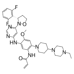 C=CC(=O)Nc1cc(Nc2cc(N3OCC[C@H]3c3c(F)cccc3F)ncn2)c(OC)cc1N1CCC(N2CCN(CC)CC2)CC1